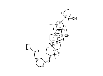 CCO[C@@H]([C@H]1C[C@@H](C)[C@H]2[C@H](O1)[C@H](O)[C@@]1(C)[C@@H]3CC[C@H]4C(C)(C)[C@@H](O[C@H]5CN(CC(=O)C6CCC6)CCO5)CC[C@@]45C[C@@]35CC[C@]21C)C(C)(C)O